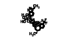 CC[C@H]1Cc2ccc(C(F)(F)F)cc2S(=O)(=O)N(Cc2nc([C@@H](c3ccc4c(nnn4CC)c3C)C(C)(C)C(=O)O)sc2C)C1